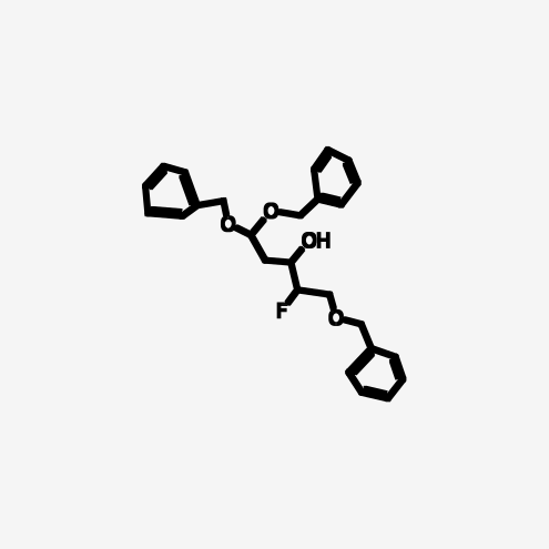 OC(CC(OCc1ccccc1)OCc1ccccc1)C(F)COCc1ccccc1